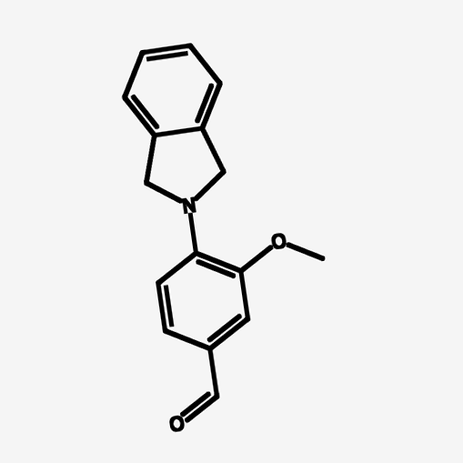 COc1cc(C=O)ccc1N1Cc2ccccc2C1